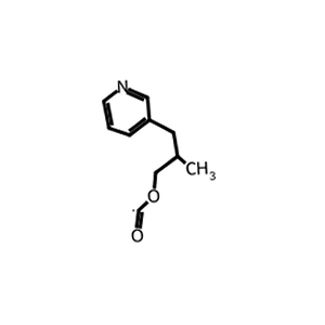 CC(CO[C]=O)Cc1cccnc1